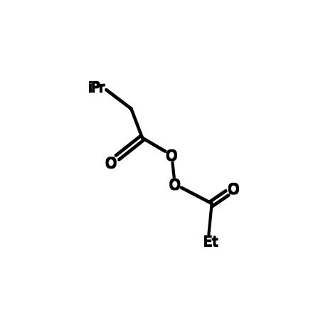 CCC(=O)OOC(=O)CC(C)C